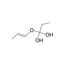 CC=COC(O)(O)CC